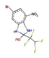 O=[N+]([O-])c1cc(Br)cc2c1NC(O)(C(F)(F)C(F)F)N2